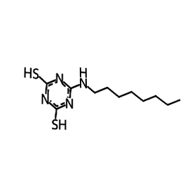 CCCCCCCCNc1nc(S)nc(S)n1